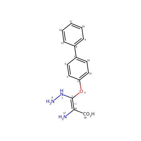 NN/C(Oc1ccc(-c2ccccc2)cc1)=C(\N)C(=O)O